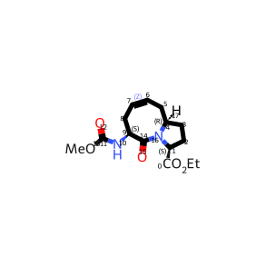 CCOC(=O)[C@@H]1CC[C@@H]2C/C=C\C[C@H](NC(=O)OC)C(=O)N21